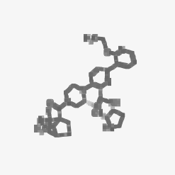 CCOc1ncccc1-c1ccc(N2CCN(C(=O)C34CCC(CC3(F)F)C4(C)C)C[C@H]2CC)c(C(=O)N[C@@H]2CCNC2)n1